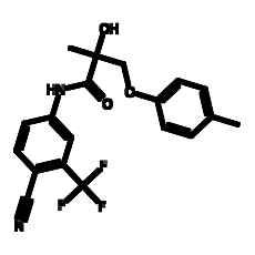 Cc1ccc(OCC(C)(O)C(=O)Nc2ccc(C#N)c(C(F)(F)F)c2)cc1